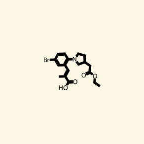 CCOC(=O)CC1CCN(c2ccc(Br)cc2/C=C(\C)C(=O)O)C1